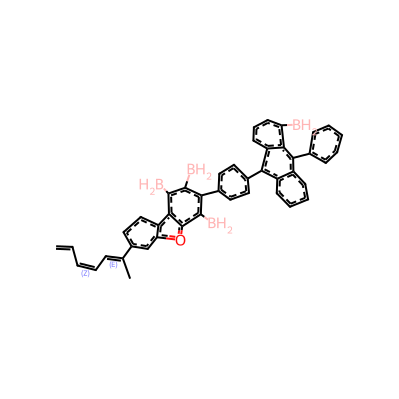 Bc1c(-c2ccc(-c3c4ccccc4c(-c4ccccc4)c4c(B)cccc34)cc2)c(B)c2oc3cc(/C(C)=C/C=C\C=C)ccc3c2c1B